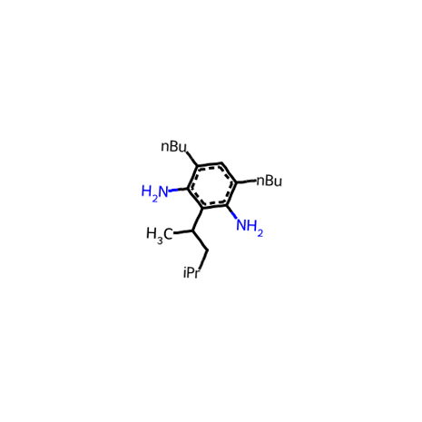 CCCCc1cc(CCCC)c(N)c(C(C)CC(C)C)c1N